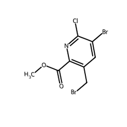 COC(=O)c1nc(Cl)c(Br)cc1CBr